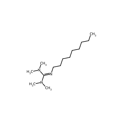 CCCCCCCCCN=C(N(C)C)N(C)C